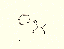 O=C(Oc1cc[c]cc1)C(I)I